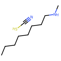 CCCCCCCCNC.N#CS